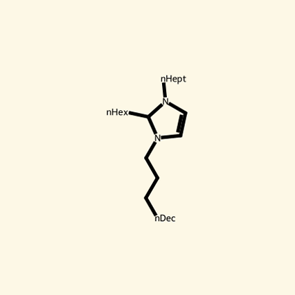 CCCCCCCCCCCCCN1C=CN(CCCCCCC)C1CCCCCC